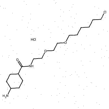 Cl.NC1CCC(C(=O)NCCOCCOCCCCCCCl)CC1